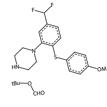 CC(C)(C)OC=O.COc1ccc(Sc2ccc(C(F)F)cc2N2CCNCC2)cc1